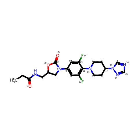 CCC(=O)NCC1CN(c2cc(F)c(N3CCC(n4cncn4)CC3)c(F)c2)C(=O)O1